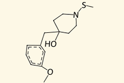 COc1cccc(CC2(O)CCN(SC)CC2)c1